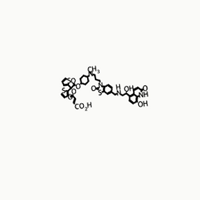 CN(CCCn1c(=O)sc2cc(CNC[C@H](O)c3ccc(O)c4[nH]c(=O)ccc34)ccc21)C1CCC(OC(=O)C(OC(=O)/C=C/C(=O)O)(c2cccs2)c2cccs2)CC1